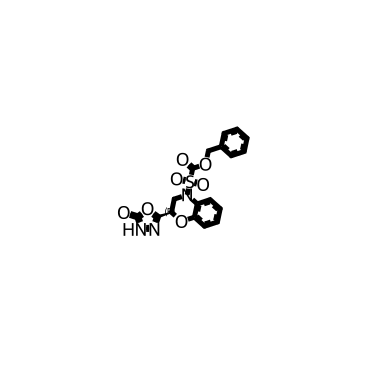 O=C(OCc1ccccc1)S(=O)(=O)N1C[C@H](c2n[nH]c(=O)o2)Oc2ccccc21